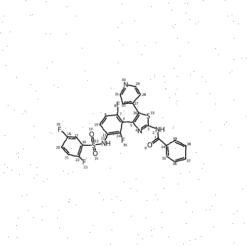 O=C(Nc1nc(-c2c(F)ccc(NS(=O)(=O)c3cc(F)ccc3F)c2F)c(-c2ccncc2)s1)c1ccccc1